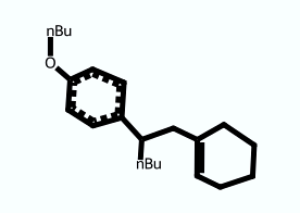 CCCCOc1ccc(C(CCCC)CC2=CCCCC2)cc1